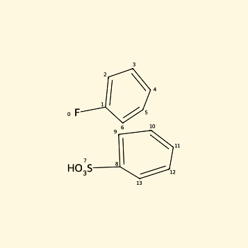 Fc1ccccc1.O=S(=O)(O)c1ccccc1